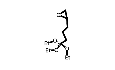 CCO[Si](CCCC1CO1)(OCC)OCC